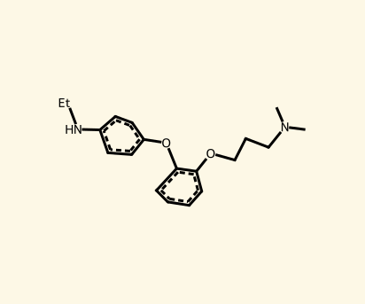 CCNc1ccc(Oc2ccccc2OCCCN(C)C)cc1